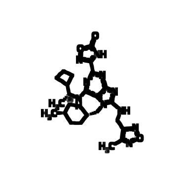 Cc1nonc1CNc1nc2nc(-c3noc(=O)[nH]3)nc(N[C@H](C)C3CCC3)c2n1C[C@H]1CC[C@H](C)CC1